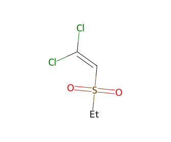 CCS(=O)(=O)C=C(Cl)Cl